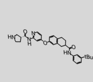 CC(C)(C)c1cccc(NC(=O)C2CCc3ccc(Oc4ccnc(NC(=O)[C@@H]5CCNC5)c4)cc3C2)c1